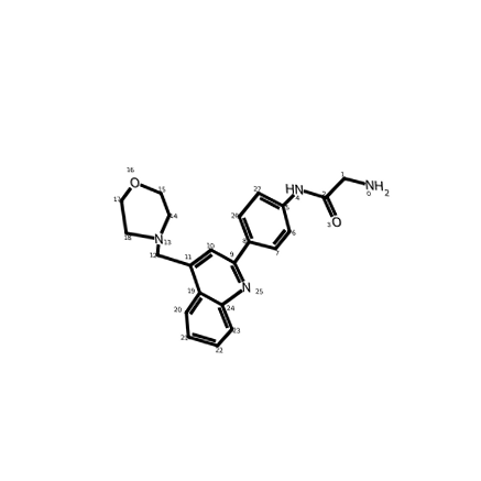 NCC(=O)Nc1ccc(-c2cc(CN3CCOCC3)c3ccccc3n2)cc1